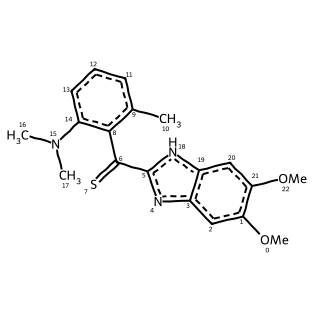 COc1cc2nc(C(=S)c3c(C)cccc3N(C)C)[nH]c2cc1OC